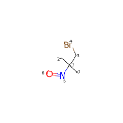 CC(C)(CBr)N=O